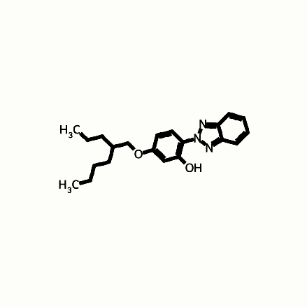 CCCCC(CCC)COc1ccc(-n2nc3ccccc3n2)c(O)c1